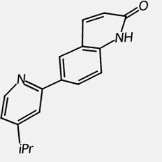 CC(C)c1ccnc(-c2ccc3[nH]c(=O)ccc3c2)c1